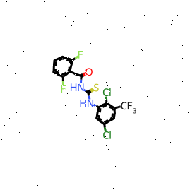 O=C(NC(=S)Nc1cc(Cl)cc(C(F)(F)F)c1Cl)c1c(F)cccc1F